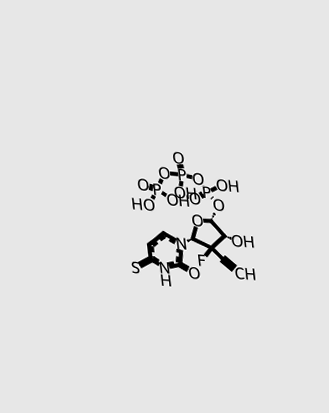 C#CC1(F)[C@@H](O)[C@@H](OP(=O)(O)OP(=O)(O)OP(=O)(O)O)O[C@H]1n1ccc(=S)[nH]c1=O